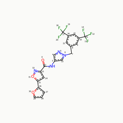 O=C(Nc1cnn(Cc2cc(C(F)(F)F)cc(C(F)(F)F)c2)c1)c1cc(-c2ccco2)on1